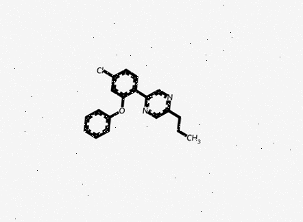 CCCc1cnc(-c2ccc(Cl)cc2Oc2ccccc2)cn1